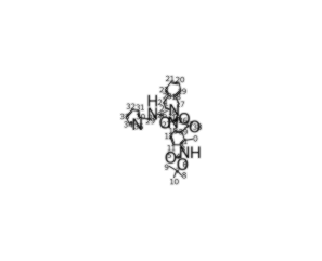 Cc1c(NC(=O)OC(C)(C)C)ccc2nc(N3Cc4ccccc4C[C@H]3C(=O)NCc3ccccn3)oc(=O)c12